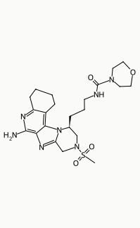 CS(=O)(=O)N1Cc2nc3c(N)nc4c(c3n2[C@@H](CCCNC(=O)N2CCOCC2)C1)CCCC4